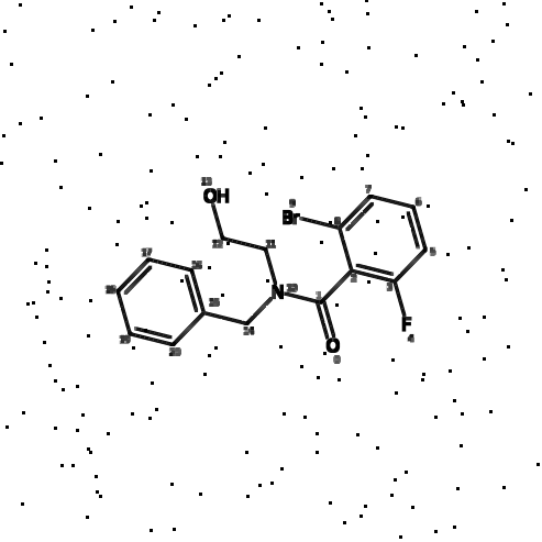 O=C(c1c(F)cccc1Br)N(CCO)Cc1ccccc1